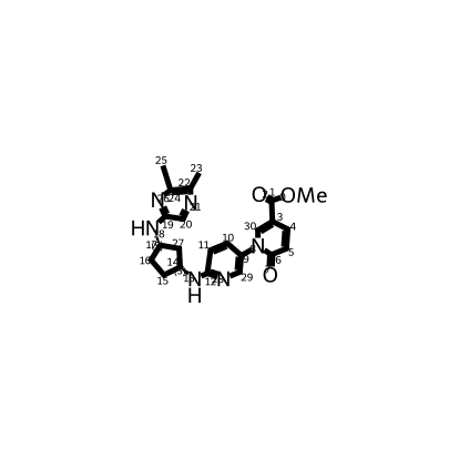 COC(=O)c1ccc(=O)n(-c2ccc(N[C@H]3CC[C@H](Nc4cnc(C)c(C)n4)C3)nc2)c1